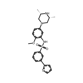 COc1ccc(N2C[C@@H](C)N[C@@H](C)C2)cc1NS(=O)(=O)c1cccc(-c2cccs2)c1